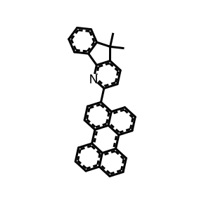 CC1(C)c2ccccc2-c2nc(-c3ccc4c5cccc6cccc(c7cccc3c74)c65)ccc21